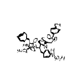 COC(=O)NC(Cc1ccccc1)C(=O)NC(Cc1ccc(NS(=O)(=O)O)cc1)c1csc(CS(=O)(=O)c2ccc(Cl)cc2)n1